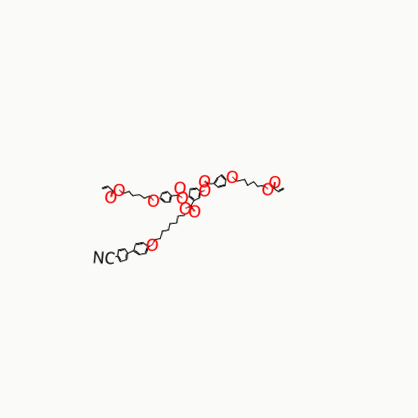 C=CC(=O)OCCCCCCOc1ccc(C(=O)Oc2ccc(OC(=O)c3ccc(OCCCCCCOC(=O)C=C)cc3)c(C(=O)OCCCCCCCCOc3ccc(-c4ccc(C#N)cc4)cc3)c2)cc1